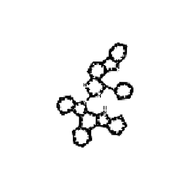 c1ccc(-c2nc(-n3c4ccccc4c4c5ccccc5c5c6ccccc6[nH]c5c43)nc3ccc4c5ccccc5oc4c23)cc1